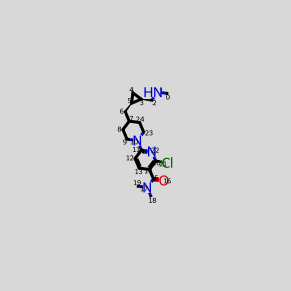 CNC[C@@H]1C[C@@H]1CC1CCN(c2ccc(C(=O)N(C)C)c(Cl)n2)CC1